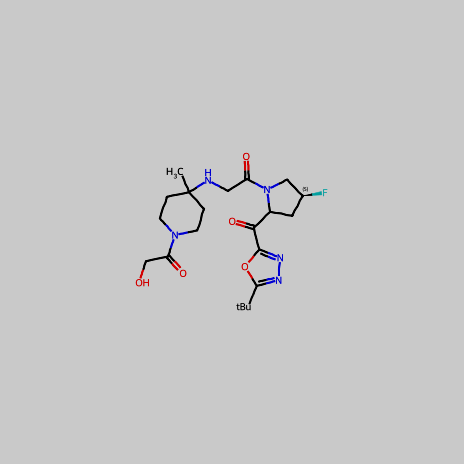 CC1(NCC(=O)N2C[C@@H](F)CC2C(=O)c2nnc(C(C)(C)C)o2)CCN(C(=O)CO)CC1